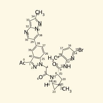 CC(=O)c1nn(CC(=O)N2[C@H](C(=O)Nc3nc(Br)ccc3C)C[C@@]3(C)C[C@@H]23)c2ccc(-c3cnc4cc(C)nn4c3)cc12